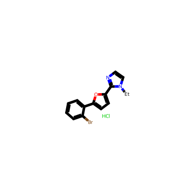 CCn1ccnc1-c1ccc(-c2ccccc2Br)o1.Cl